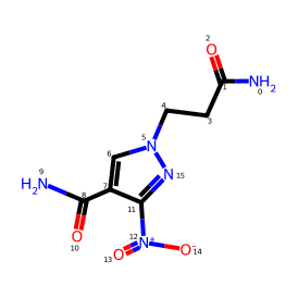 NC(=O)CCn1cc(C(N)=O)c([N+](=O)[O-])n1